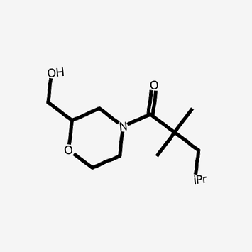 CC(C)CC(C)(C)C(=O)N1CCOC(CO)C1